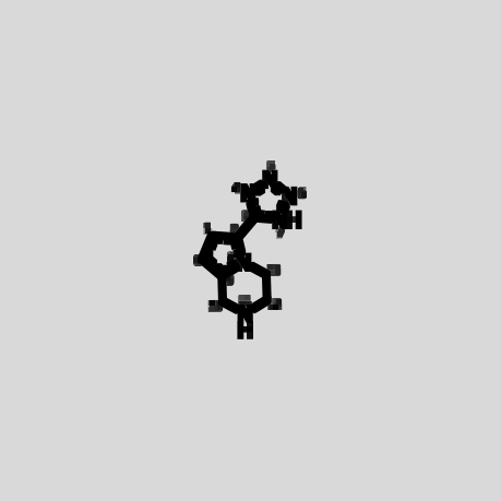 c1cc(-c2nnn[nH]2)n2c1CNCC2